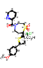 Cl.O=C(O)C[C@]1(c2ccc(-c3ccc(OC(F)(F)F)cc3)s2)CCN(C(=O)c2ccccn2)CCS1(=O)=O